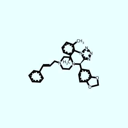 Cc1cccc(C)c1-n1nnnc1[C@@H](c1ccc2c(c1)OCO2)N1CCN(C/C=C/c2ccccc2)CC1